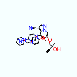 C#CC(C)(O)COc1cc(-c2ccc(N3CC4CC(C3)N4CCc3ccc(OC)nc3)nc2)c2c(C#N)cnn2c1